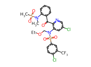 CCOCN(c1cc(Cl)cnc1C(=O)c1ccccc1N(C)S(C)(=O)=O)S(=O)(=O)c1ccc(Cl)c(C(F)(F)F)c1